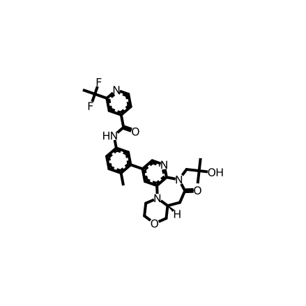 Cc1ccc(NC(=O)c2ccnc(C(C)(F)F)c2)cc1-c1cnc2c(c1)N1CCOC[C@H]1CC(=O)N2CC(C)(C)O